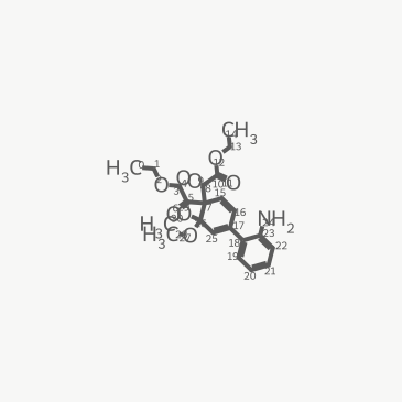 CCOC(=O)C(=O)C1(C(=O)C(=O)OCC)C=CC(c2ccccc2N)=CC1(OC)OC